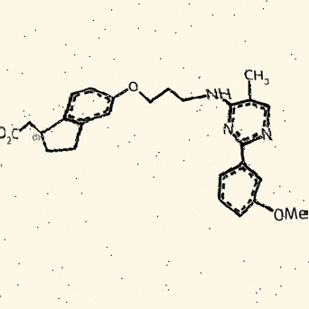 COc1cccc(-c2ncc(C)c(NCCCOc3ccc4c(c3)CC[C@H]4CC(=O)O)n2)c1